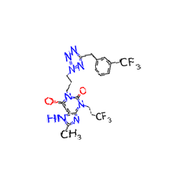 Cc1nc2c([nH]1)c(=O)n(CCCn1nnc(Cc3cccc(C(F)(F)F)c3)n1)c(=O)n2CCC(F)(F)F